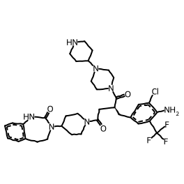 Nc1c(Cl)cc(C[C@@H](CC(=O)N2CCC(N3CCc4ccccc4NC3=O)CC2)C(=O)N2CCN(C3CCNCC3)CC2)cc1C(F)(F)F